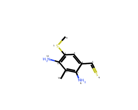 CSc1cc(C=S)c(N)c(C)c1N